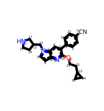 N#Cc1ccc(-c2cc3c(ccn3CC3CCNC3)nc2OCCC2CC2)cc1